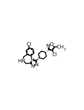 Cc1onc([C@H]2CC[C@H](c3nnc4n3-c3ccc(Cl)cc3CNC4)CC2)c1Cl